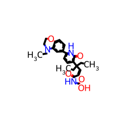 CCN1CCOc2ccc(-c3ccc(C(/C=C4/OC(O)NC4=O)(CC)CC)c(=O)[nH]3)cc21